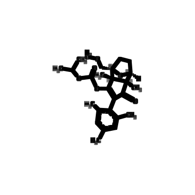 COC[C@]12CC[C@H](O1)[C@]1(C)C(=O)C(c3c(C)cc(C)cc3C)=C(OC(=O)OC(C)C)[C@]21C